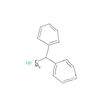 CC(c1ccccc1)c1ccccc1.F